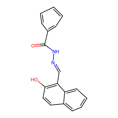 O=C(NN=Cc1c(O)ccc2ccccc12)c1ccccc1